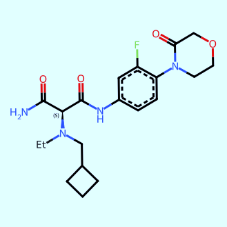 CCN(CC1CCC1)[C@@H](C(N)=O)C(=O)Nc1ccc(N2CCOCC2=O)c(F)c1